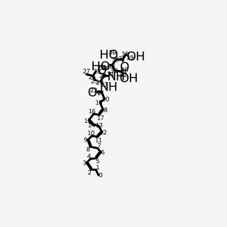 CC/C=C\C/C=C\C/C=C\C/C=C\C/C=C\C/C=C\CCC(=O)N[C@@H](CC(C)C)C(=O)NC1C(O)[C@H](O)C(CO)O[C@H]1O